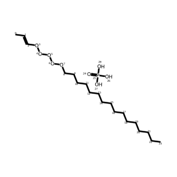 CC=COOOOOCCCCCCCCCCCCCCCC.O=P(O)(O)O